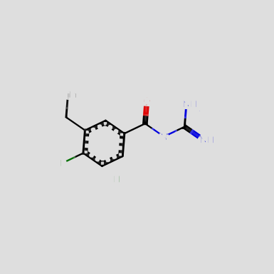 CC(C)Cc1cc(C(=O)NC(=N)N)ccc1F.Cl